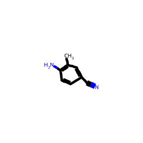 Cc1cc(C#N)c[c]c1N